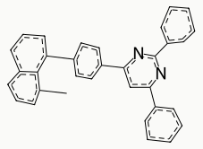 Cc1cccc2cccc(-c3ccc(-c4cc(-c5ccccc5)nc(-c5ccccc5)n4)cc3)c12